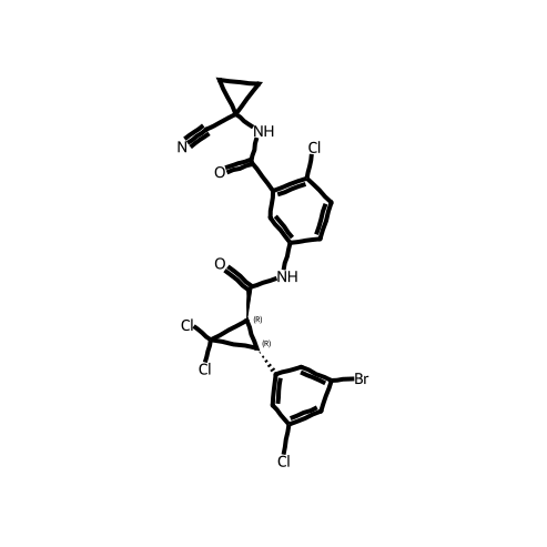 N#CC1(NC(=O)c2cc(NC(=O)[C@H]3[C@H](c4cc(Cl)cc(Br)c4)C3(Cl)Cl)ccc2Cl)CC1